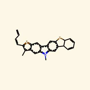 C=C/C=C\c1sc2cc3c4cc5c(cc4n(C)c3cc2c1C)C1C=CC=CC1S5